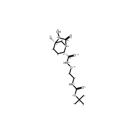 CC(C)(C)OC(=O)NCCONC(=O)[C@@H]1CC[C@@H]2CN1C(=O)N2O